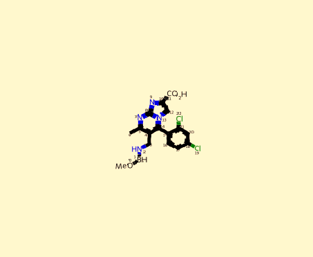 COBNCc1c(C)nc2nc(C(=O)O)cn2c1-c1ccc(Cl)cc1Cl